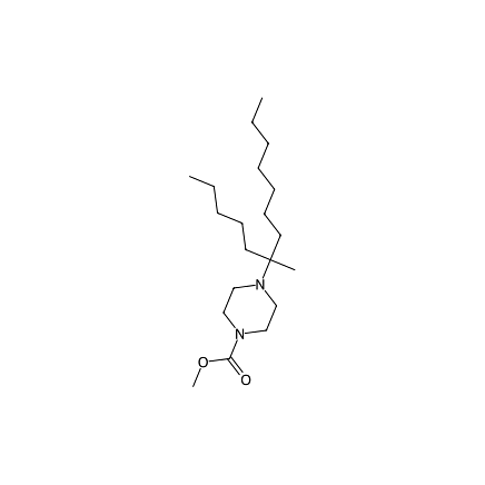 CCCCCCCC(C)(CCCCC)N1CCN(C(=O)OC)CC1